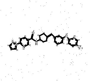 O=C(NC1CCC(=Cc2cccc(Oc3ccc(C(F)(F)F)cn3)c2)CC1)c1ccc(-n2cccn2)nc1